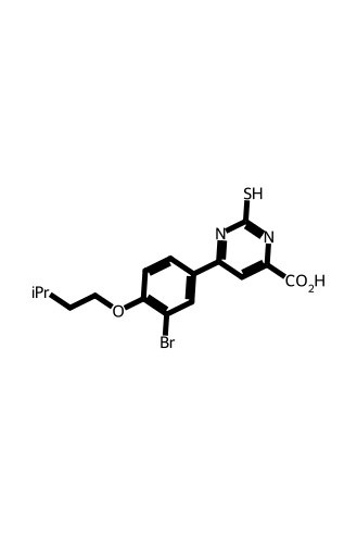 CC(C)CCOc1ccc(-c2cc(C(=O)O)nc(S)n2)cc1Br